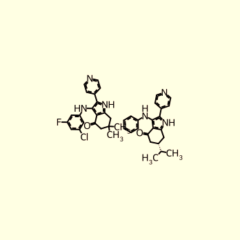 CC(C)[C@@H]1CC(=O)c2c([nH]c(-c3ccncc3)c2Nc2ccccc2)C1.CC1(C)CC(=O)c2c([nH]c(-c3ccncc3)c2Nc2cc(F)cc(Cl)c2)C1